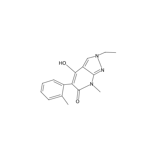 CCn1cc2c(O)c(-c3ccccc3C)c(=O)n(C)c2n1